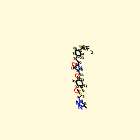 [O-][S+](CCn1ccnn1)Cc1ccc(OCc2coc(/C=C/c3ccc(SC(F)(F)F)cc3)n2)cc1